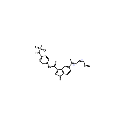 C=N/C=C\C=C(/C)c1ccc2[nH]nc(C(=O)Nc3ccc(NS(C)(=O)=O)nc3)c2c1